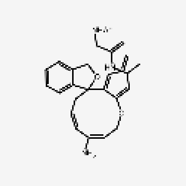 C=C/C=C1\C(=C/C(C)NC(=C)CNC(C)=O)OC/C=C(N)\C=C/CC12OCc1ccccc12